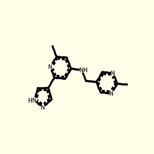 Cc1cc(NCc2cnc(C)nc2)cc(-c2cn[nH]c2)n1